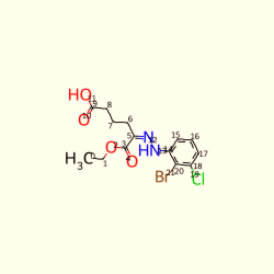 CCOC(=O)C(CCCC(=O)O)=NNc1cccc(Cl)c1Br